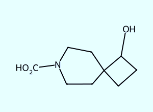 O=C(O)N1CCC2(CCC2O)CC1